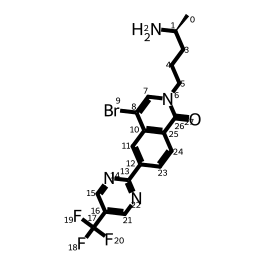 C[C@H](N)CCCn1cc(Br)c2cc(-c3ncc(C(F)(F)F)cn3)ccc2c1=O